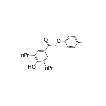 CCCc1cc(C(=O)COc2ccc(C)cc2)cc(CCC)c1O